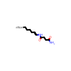 CCCCCCCCCCCCCC=CNC(=O)CCC(N)=O